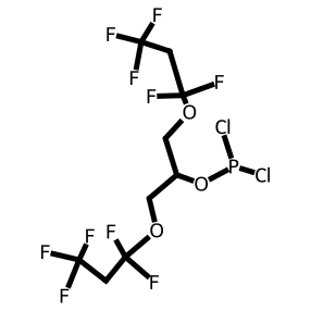 FC(F)(F)CC(F)(F)OCC(COC(F)(F)CC(F)(F)F)OP(Cl)Cl